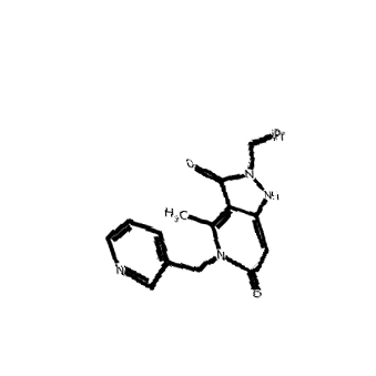 Cc1c2c(=O)n(CC(C)C)[nH]c2cc(=O)n1Cc1cccnc1